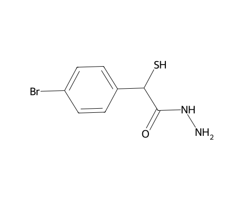 NNC(=O)C(S)c1ccc(Br)cc1